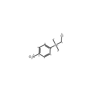 C[Si](C)(CCl)c1ccc([N+](=O)[O-])cc1